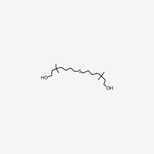 CC(C)(CCO)CCCCSCCCCC(C)(C)CCO